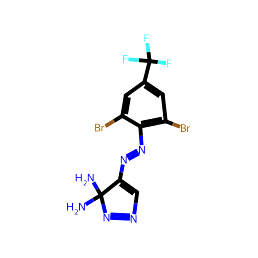 NC1(N)N=NC=C1N=Nc1c(Br)cc(C(F)(F)F)cc1Br